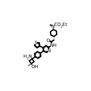 CCOC(=O)N(C)[C@H]1CC[C@H](CC(=O)Nc2cc(-c3ccsc3)c(-c3ccc([C@]4(N)C[C@](C)(O)C4)cc3)cn2)CC1